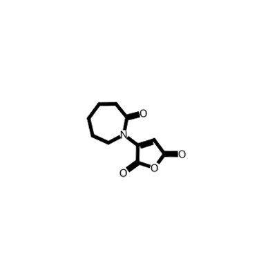 O=C1C=C(N2CCCCCC2=O)C(=O)O1